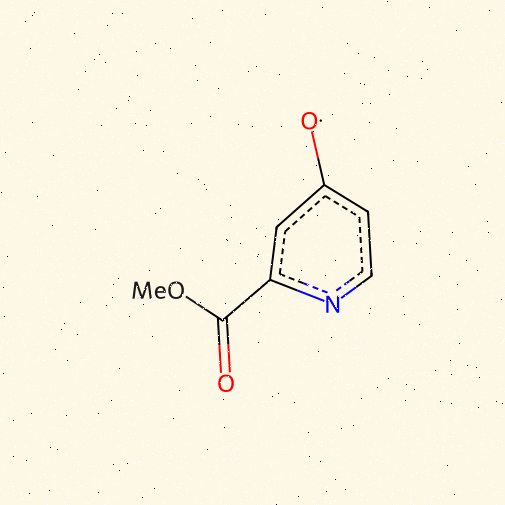 COC(=O)c1cc([O])ccn1